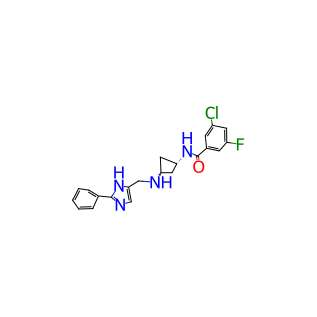 O=C(N[C@H]1C[C@H](NCc2cnc(-c3ccccc3)[nH]2)C1)c1cc(F)cc(Cl)c1